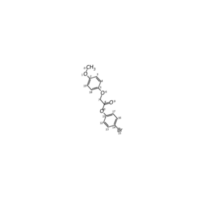 COc1ccc(OCC(=O)Oc2ccc(Br)cc2)cc1